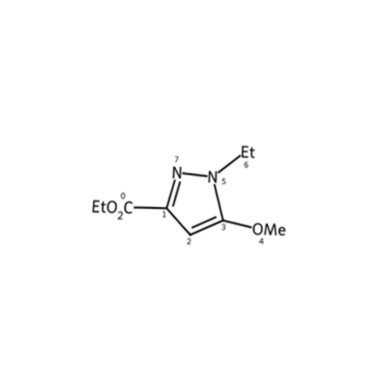 CCOC(=O)c1cc(OC)n(CC)n1